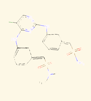 CN(C)S(=O)(=O)/C=C1\C=CC=C(Nc2nc(NC3=CC=C/C(=C\S(N)(=O)=O)C3)ncc2F)C1